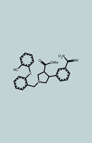 COC(=O)C1CN(Cc2ccccc2Sc2ccccc2C#N)CC1c1cccc(C(=N)N)c1